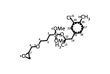 CO[Si](CCCOCC1CO1)(OC)OC(C)Cc1ccc(C)c(Cl)c1